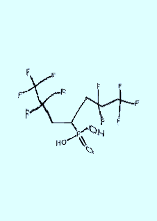 O=P(O)(O)C(CC(F)(F)C(F)(F)F)CC(F)(F)C(F)(F)F